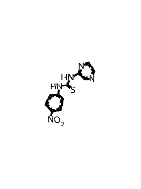 O=[N+]([O-])c1ccc(NC(=S)Nc2cnccn2)cc1